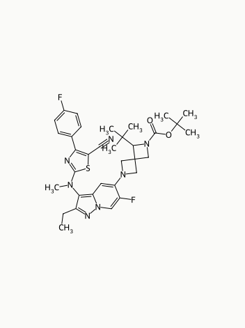 CCc1nn2cc(F)c(N3CC4(C3)CN(C(=O)OC(C)(C)C)C4C(C)(C)C)cc2c1N(C)c1nc(-c2ccc(F)cc2)c(C#N)s1